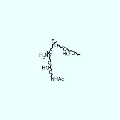 C=CCOCC(O)COCCCOC(C)(F)CCCOC(C)(N)CCCOCC(O)COCCNC(C)=O